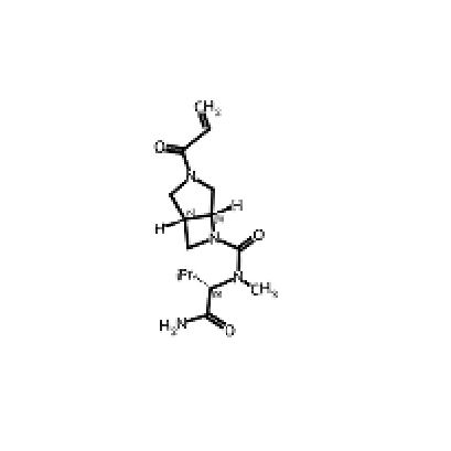 C=CC(=O)N1C[C@H]2CN(C(=O)N(C)[C@H](C(N)=O)C(C)C)[C@H]2C1